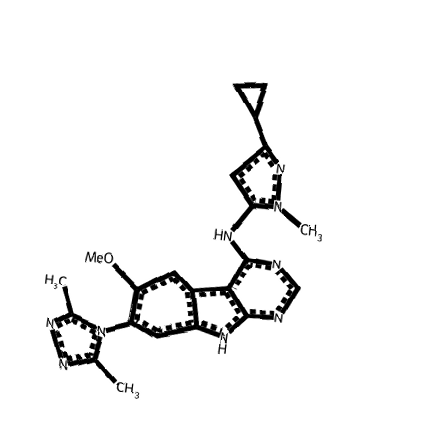 COc1cc2c(cc1-n1c(C)nnc1C)[nH]c1ncnc(Nc3cc(C4CC4)nn3C)c12